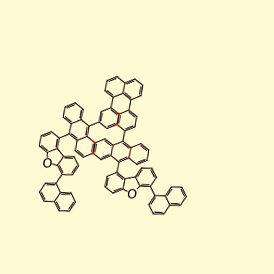 c1cc(-c2c3ccccc3c(-c3cccc4oc5c(-c6cccc7ccccc67)cccc5c34)c3ccccc23)cc(-c2cccc3cccc(-c4ccc(-c5c6ccccc6c(-c6cccc7oc8c(-c9cccc%10ccccc9%10)cccc8c67)c6ccccc56)cc4)c23)c1